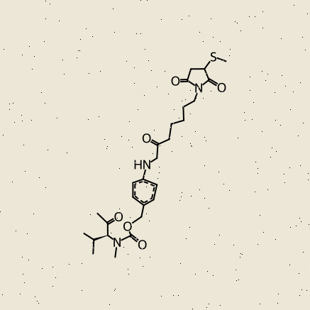 CSC1CC(=O)N(CCCCCC(=O)CNc2ccc(COC(=O)N(C)[C@H](C(C)=O)C(C)C)cc2)C1=O